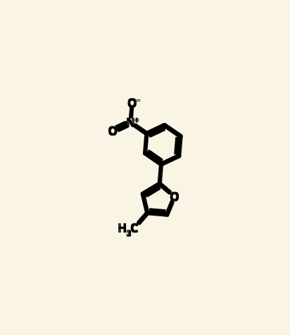 Cc1coc(-c2cccc([N+](=O)[O-])c2)c1